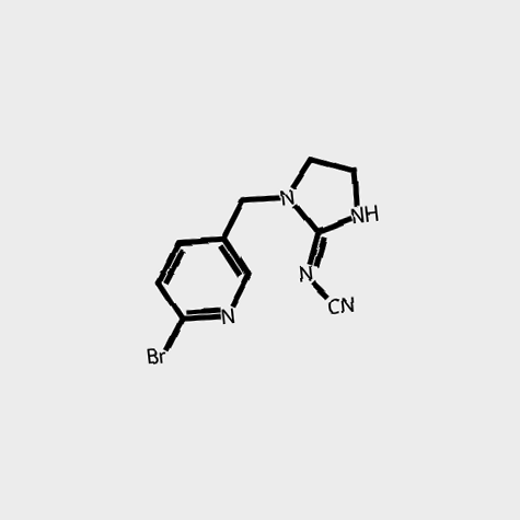 N#C/N=C1\NCCN1Cc1ccc(Br)nc1